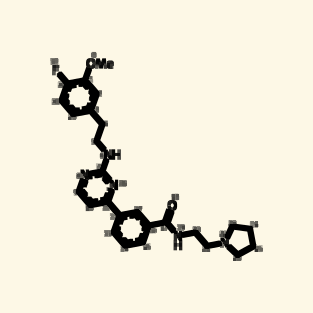 COc1cc(CCNc2nccc(-c3cccc(C(=O)NCCN4CCCC4)c3)n2)ccc1F